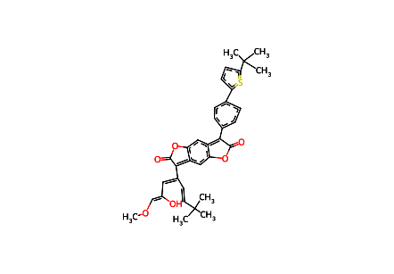 CO/C=C(O)/C=C(\C=C\C(C)(C)C)C1=c2cc3c(cc2OC1=O)=C(c1ccc(-c2ccc(C(C)(C)C)s2)cc1)C(=O)O3